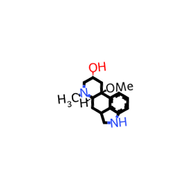 CO[C@]12C[C@@H](O)CN(C)[C@@H]1CC1CNc3cccc2c31